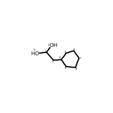 OC(O)CC1CCCCC1